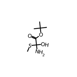 CSC(N)(O)C(=O)OC(C)(C)C